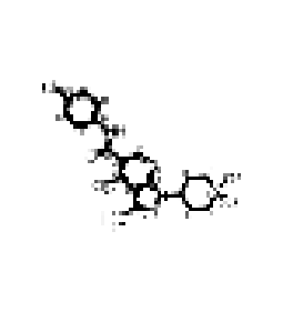 Cc1nn(C2CCS(=O)(=O)CC2)c2ncc(C(=O)Nc3ccc(Cl)cc3)c(Cl)c12